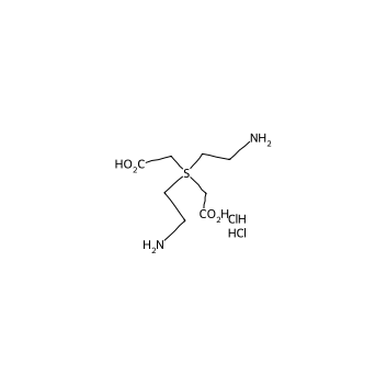 Cl.Cl.NCCS(CCN)(CC(=O)O)CC(=O)O